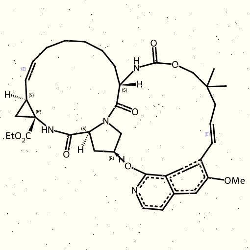 CCOC(=O)[C@@]12C[C@H]1/C=C\CCCCC[C@@H]1NC(=O)OCC(C)(C)C/C=C/c3cc4c(nccc4cc3OC)O[C@@H]3C[C@@H](C(=O)N2)N(C3)C1=O